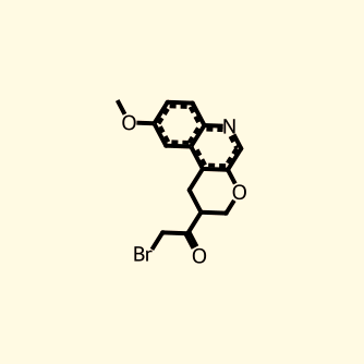 COc1ccc2ncc3c(c2c1)CC(C(=O)CBr)CO3